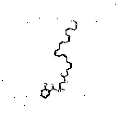 CC/C=C\C/C=C\C/C=C\C/C=C\C/C=C\C/C=C\C/C=C\CCC(=O)NCC(C)NC(=O)c1ccccc1O